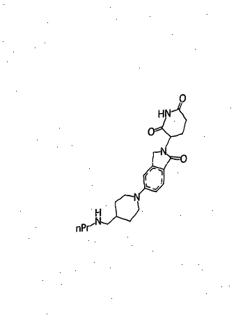 CCCNCC1CCN(c2ccc3c(c2)CN(C2CCC(=O)NC2=O)C3=O)CC1